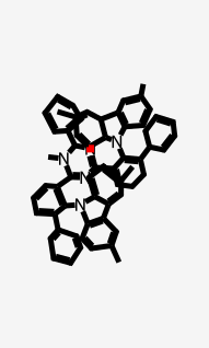 CC1=CC2c3cc(C)ccc3N(C3=C(C4C=CC=CC4)CCC=C3C3=NC(c4ccccc4)N(C)C(c4cccc(-c5ccccc5)c4-n4c5ccc(C)cc5c5cc(C)ccc54)=N3)C2C=C1